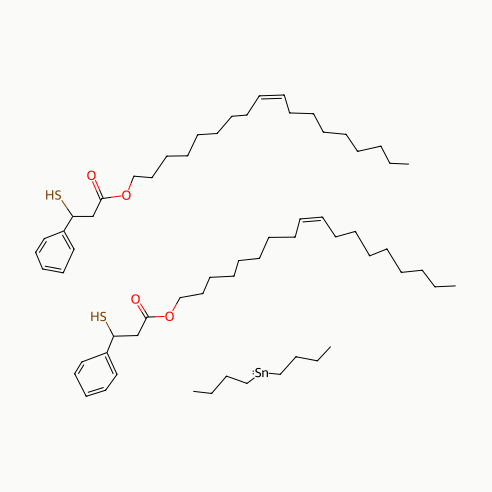 CCCCCCCC/C=C\CCCCCCCCOC(=O)CC(S)c1ccccc1.CCCCCCCC/C=C\CCCCCCCCOC(=O)CC(S)c1ccccc1.CCC[CH2][Sn][CH2]CCC